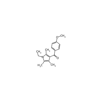 CCn1c(C)c(C)c(C(=O)c2ccc(OC)cc2)c1C